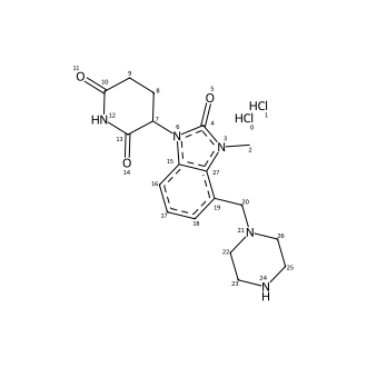 Cl.Cl.Cn1c(=O)n(C2CCC(=O)NC2=O)c2cccc(CN3CCNCC3)c21